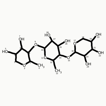 CC1OCC(O)C(O)C1OC1OC(C)C(OC2OCC(O)C(O)C2O)C(O)C1O